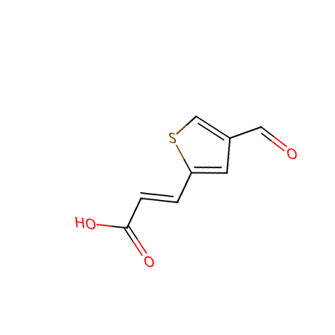 O=Cc1csc(C=CC(=O)O)c1